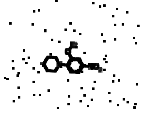 CCOc1cc([N+](=O)[O-])ccc1N1CC[CH]CC1